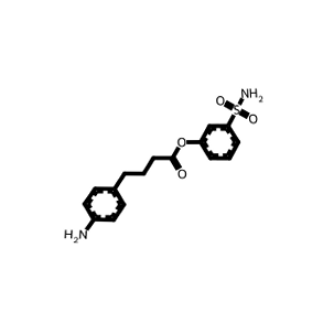 Nc1ccc(CCCC(=O)Oc2cccc(S(N)(=O)=O)c2)cc1